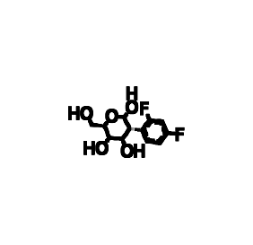 OC[C@H]1OC(O)[C@H](c2ccc(F)cc2F)[C@@H](O)[C@H]1O